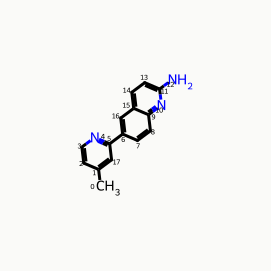 Cc1ccnc(-c2ccc3nc(N)ccc3c2)c1